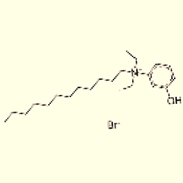 CCCCCCCCCCCC[N+](CC)(CC)c1cccc(O)c1.[Br-]